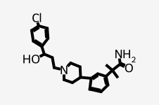 CC(C)(C(N)=O)c1cccc(C2CCN(CCC(O)c3ccc(Cl)cc3)CC2)c1